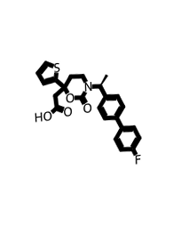 C[C@@H](c1ccc(-c2ccc(F)cc2)cc1)N1CCC(CC(=O)O)(c2cccs2)OC1=O